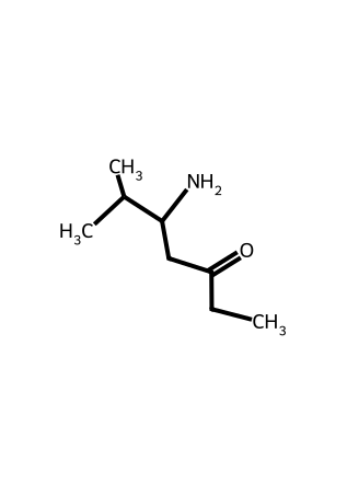 CCC(=O)CC(N)C(C)C